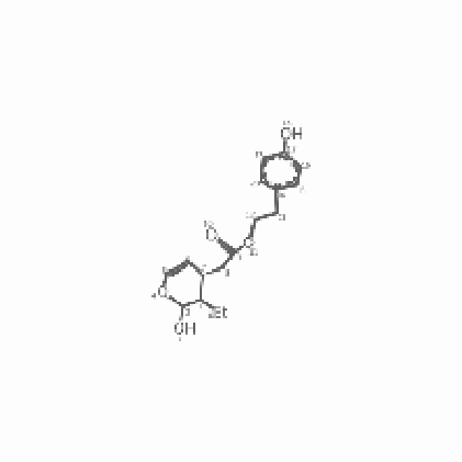 CCC1C(O)OC=C[C@H]1CC(=O)OCCc1ccc(O)cc1